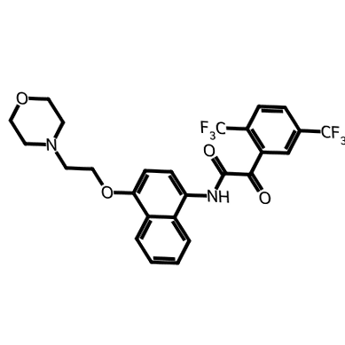 O=C(Nc1ccc(OCCN2CCOCC2)c2ccccc12)C(=O)c1cc(C(F)(F)F)ccc1C(F)(F)F